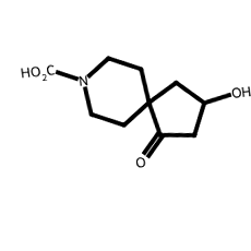 O=C(O)N1CCC2(CC1)CC(O)CC2=O